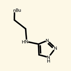 CCCCCCNc1c[nH]nn1